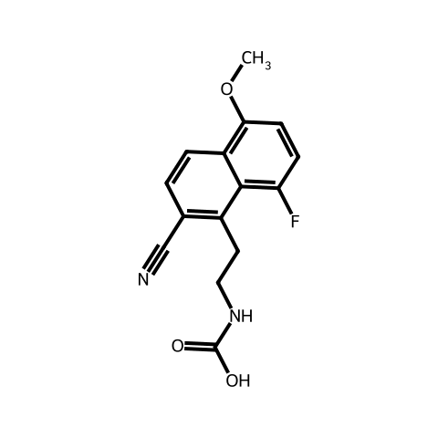 COc1ccc(F)c2c(CCNC(=O)O)c(C#N)ccc12